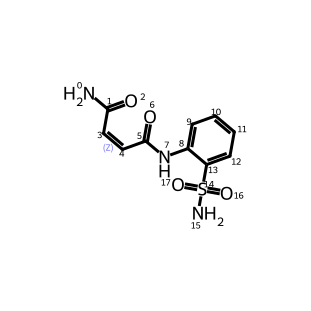 NC(=O)/C=C\C(=O)Nc1ccccc1S(N)(=O)=O